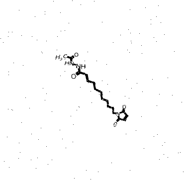 CC(=O)NNC(=O)CCCCCCCCCCN1C(=O)C=CC1=O